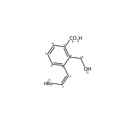 CCCC/C=C\c1cccc(C(=O)O)c1CO